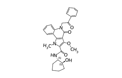 COc1c(C(=O)N[C@H]2CCCC[C@@H]2O)n(C)c2c1c(=O)n(CC(=O)c1ccccc1)c1ccccc21